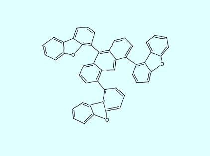 c1ccc2c(c1)oc1c(-c3c4cccc(-c5cccc6oc7ccccc7c56)c4cc4c(-c5cccc6oc7ccccc7c56)cccc34)cccc12